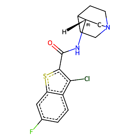 O=C(N[C@H]1CN2CCC1CC2)c1sc2cc(F)ccc2c1Cl